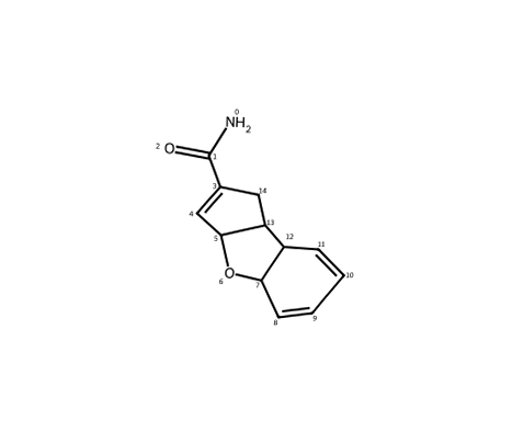 NC(=O)C1=CC2OC3C=CC=CC3C2C1